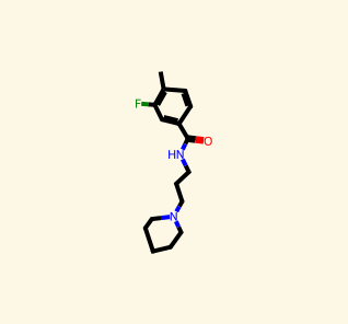 Cc1ccc(C(=O)NCCCN2CCCCC2)cc1F